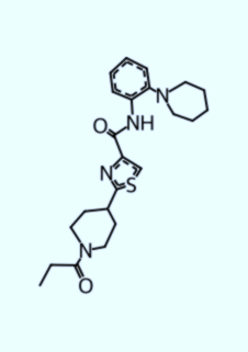 CCC(=O)N1CCC(c2nc(C(=O)Nc3ccccc3N3CCCCC3)cs2)CC1